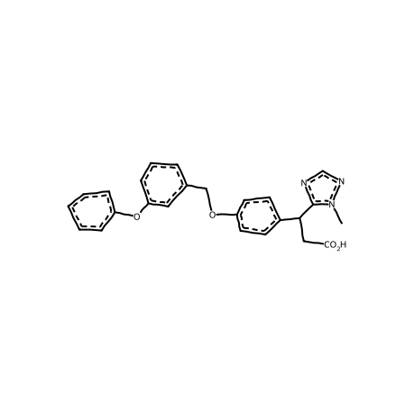 Cn1ncnc1C(CC(=O)O)c1ccc(OCc2cccc(Oc3ccccc3)c2)cc1